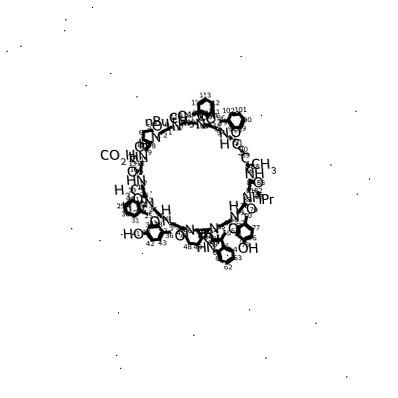 CCCC[C@H]1C(=O)N2CCC[C@@H]2C(=O)N[C@@H](CC(=O)O)C(=O)N[C@@H](C)C(=O)N(C)[C@@H](Cc2ccccc2)C(=O)N[C@@H](Cc2ccc(O)cc2)C(=O)N2CCCC[C@@H]2C(=O)N[C@@H](Cc2c[nH]c3ccccc23)C(=O)N[C@@H](Cc2ccc(O)cc2)C(=O)N[C@@H](CC(C)C)C(=O)N[C@H](C)CSCC(=O)N[C@@H](Cc2ccccc2)C(=O)N(C)[C@@H](Cc2ccccc2)C(=O)N1C